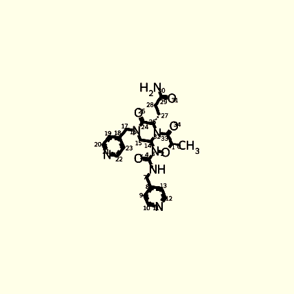 C[C@H]1ON(C(=O)NCc2ccncc2)C2CN(Cc3ccncc3)C(=O)[C@H](CCC(N)=O)N2C1=O